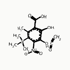 C=C=O.Cc1c(C(=O)O)c(O)c(O)c([N+](=O)[O-])c1[Si](C)(C)C